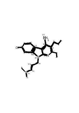 CCCc1c(CC)nc2c(c1N)c1ccc(Cl)cc1n2CCCN(C)C